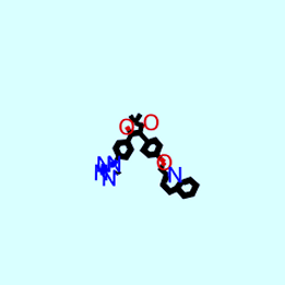 CC1(C)OC(c2ccc(-n3cnnn3)cc2)=C(c2ccc(OCc3ccc4ccccc4n3)cc2)C1=O